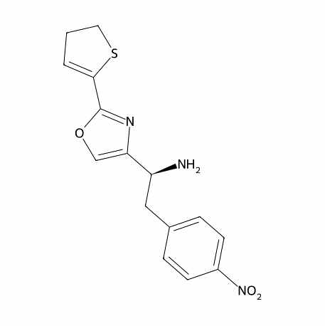 N[C@@H](Cc1ccc([N+](=O)[O-])cc1)c1coc(C2=CCCS2)n1